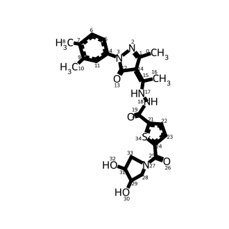 CC1=NN(c2ccc(C)c(C)c2)C(=O)/C1=C(/C)NNC(=O)c1ccc(C(=O)N2CC(O)C(O)C2)s1